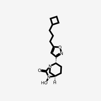 O=C1N(O)[C@@H]2CC[C@@H](c3cc(CCCC4CCC4)on3)N1C2